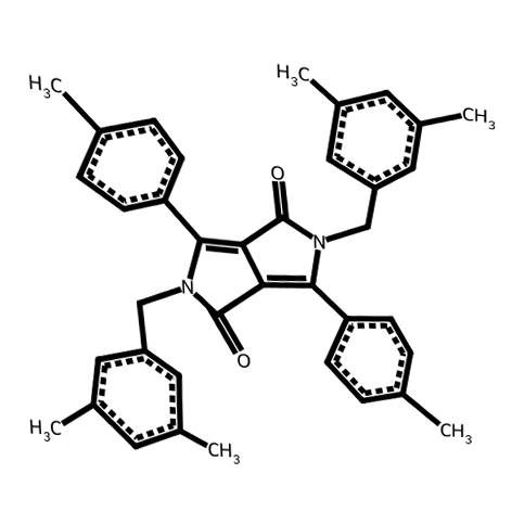 Cc1ccc(C2=C3C(=O)N(Cc4cc(C)cc(C)c4)C(c4ccc(C)cc4)=C3C(=O)N2Cc2cc(C)cc(C)c2)cc1